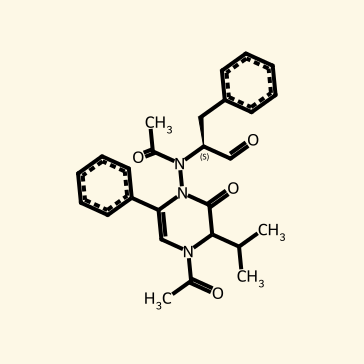 CC(=O)N1C=C(c2ccccc2)N(N(C(C)=O)[C@H](C=O)Cc2ccccc2)C(=O)C1C(C)C